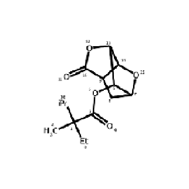 CCC(C)(C(=O)OC1C2CC3C(=O)OC1C3O2)C(C)C